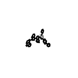 CC1(C)c2ccccc2-c2c(-c3ccc(-c4ccc(-c5cc(-c6ccc(-c7ccccc7)cc6)nc(-c6ccccc6)n5)c5ccccc45)c4ccccc34)cccc21